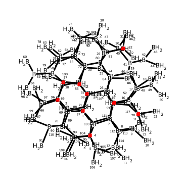 BB(B)B(B(B)B)B(B(B(B)B)B(B)B)B(B(B(B)B)B(B)B)B(B(B(B(B(B)B)B(B)B)B(B(B)B)B(B)B)B(B(B(B)B)B(B)B)B(B(B)B)B(B)B)B(B(B(B(B(B)B)B(B)B)B(B(B)B)B(B)B)B(B(B(B)B)B(B)B)B(B(B)B)B(B)B)B(B(B(B(B)B)B(B)B)B(B(B)B)B(B)B)B(B(B(B)B)B(B)B)B(B(B)B)B(B)B